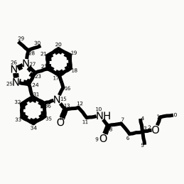 CCOC(C)(C)CCC(=O)NCCC(=O)N1Cc2ccccc2-c2c(nnn2C(C)C)-c2ccccc21